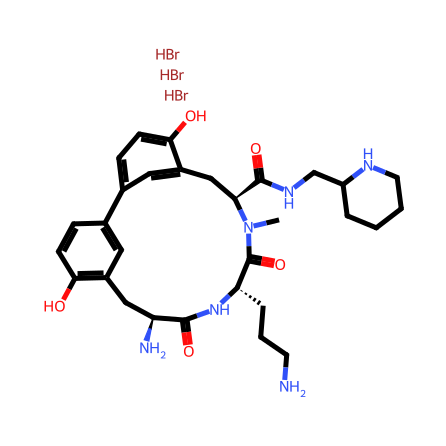 Br.Br.Br.CN1C(=O)[C@H](CCCN)NC(=O)[C@@H](N)Cc2cc(ccc2O)-c2ccc(O)c(c2)C[C@H]1C(=O)NCC1CCCCN1